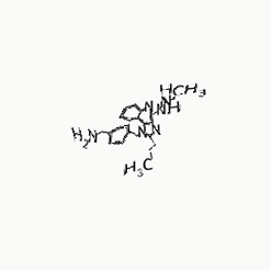 CCCCc1nc2c(NNCC)nc3ccccc3c2n1Cc1ccc(CN)cc1